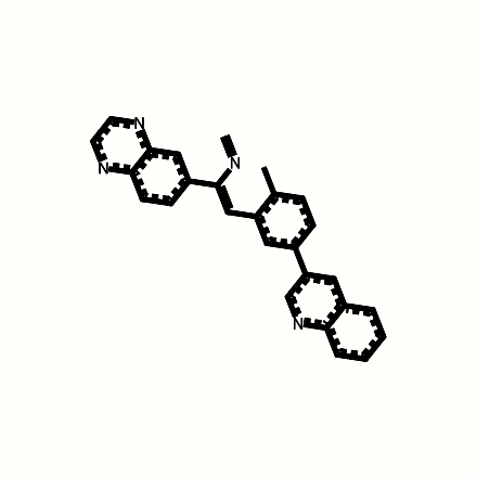 C=N/C(=C\c1cc(-c2cnc3ccccc3c2)ccc1C)c1ccc2nccnc2c1